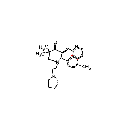 Cc1ccc(C2/C(=C\c3ccccn3)C(=O)C(C)(C)CN2CCN2CCCCC2)cc1